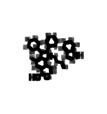 C=CCCn1c(-c2ccccc2)c(C2CCCCC2)c2c(C)cc(C(=O)O)c(C=C)c21.c1ccc2[nH]ccc2c1